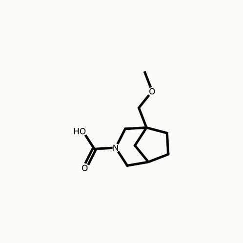 COCC12CCC(CN(C(=O)O)C1)C2